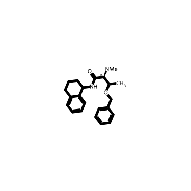 CN[C@H](C(=O)NC1CCCc2ccccc21)C(C)OCc1ccccc1